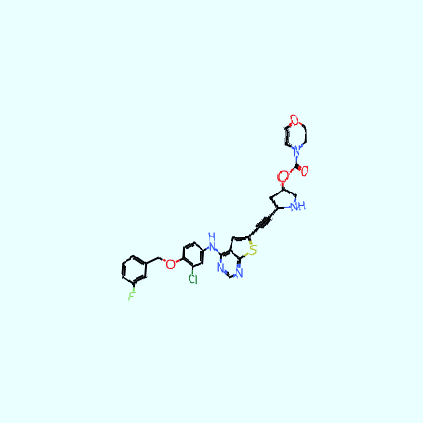 O=C(OC1CNC(C#Cc2cc3c(Nc4ccc(OCc5cccc(F)c5)c(Cl)c4)ncnc3s2)C1)N1CCOCC1